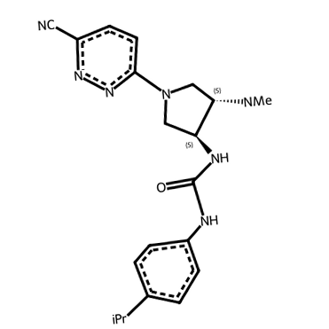 CN[C@H]1CN(c2ccc(C#N)nn2)C[C@@H]1NC(=O)Nc1ccc(C(C)C)cc1